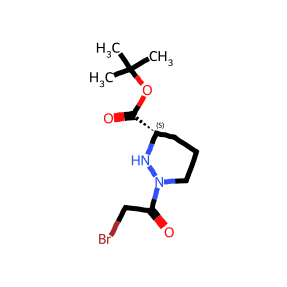 CC(C)(C)OC(=O)[C@@H]1CCCN(C(=O)CBr)N1